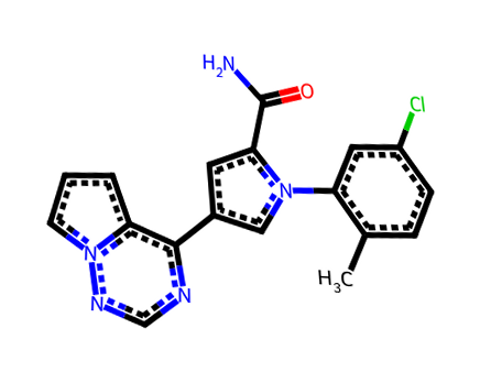 Cc1ccc(Cl)cc1-n1cc(-c2ncnn3cccc23)cc1C(N)=O